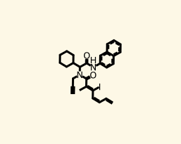 C#CCN(C(=O)/C(C)=C(I)/C=C\C=C)C(C(=O)Nc1ccc2ccccc2c1)C1CCCCC1